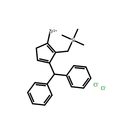 C[Si](C)(C)CC1=[C]([Zr+2])CC=C1C(c1ccccc1)c1ccccc1.[Cl-].[Cl-]